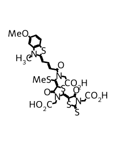 COc1ccc2c(c1)N(C)/C(=C/C=CC(=O)N(CC(=O)O)/C(SC)=c1\s/c(=C3/SC(=S)N(CC(=O)O)C3=O)n(CC(=O)O)c1=O)S2